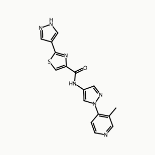 Cc1cnccc1-n1cc(NC(=O)c2csc(-c3cn[nH]c3)n2)cn1